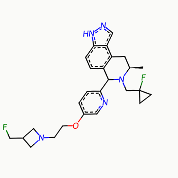 C[C@@H]1Cc2c(ccc3[nH]ncc23)C(c2ccc(OCCN3CC(CF)C3)cn2)N1CC1(F)CC1